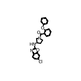 O=C(c1ccccc1Oc1ccccc1)N1CC[C@@H](Nc2nc3ccc(Cl)cc3o2)C1